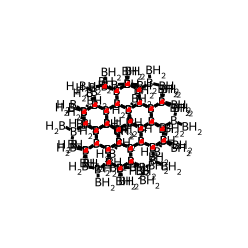 BBB(B(B)B)B(B(B(B)B)B(B)B)B(B(B(B(B)B)B(B)B)B(B(B)B)B(B)B)B(B(B(B(B(B)B)B(B)B)B(B(B)B)B(B)B)B(B(B(B)B)B(B)B)B(B(B)B)B(B)B)B(B(B(B(B(B)B)B(B)B)B(B(B)B)B(B)B)B(B(B(B)B)B(B)B)B(B(B)B)B(B)B)B(B(B(B(B)B)B(B)B)B(B(B)B)B(B)B)B(B(B(B)B)B(B)B)B(B(B)B)B(B)B